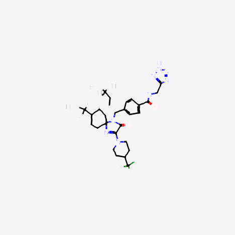 CC(C)(C)CC[C@H](c1ccc(C(=O)NCc2nn[nH]n2)cc1)N1C(=O)C(N2CCC(C(F)(F)F)CC2)=NC12CCC(C(C)(C)C)CC2